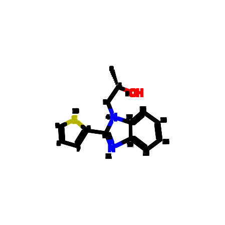 C[C@H](O)Cn1c(-c2cccs2)nc2ccccc21